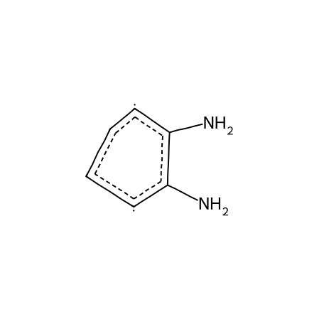 Nc1[c]cc[c]c1N